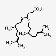 CC(C)=CCCC(C)CCSC(CCC(=O)O)SCCC(C)CCC=C(C)C